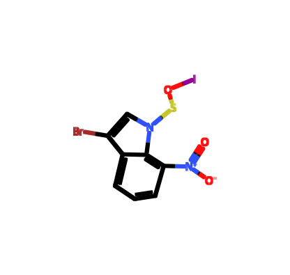 O=[N+]([O-])c1cccc2c(Br)cn(SOI)c12